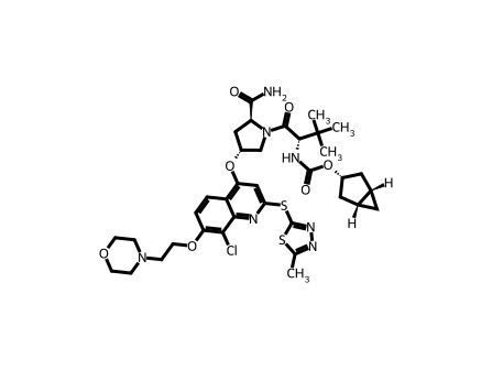 Cc1nnc(Sc2cc(O[C@@H]3C[C@@H](C(N)=O)N(C(=O)[C@@H](NC(=O)O[C@@H]4C[C@@H]5C[C@@H]5C4)C(C)(C)C)C3)c3ccc(OCCN4CCOCC4)c(Cl)c3n2)s1